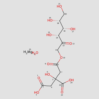 O.O=C(O)CC(O)(CC(=O)OCC(=O)[C@H](O)[C@@H](O)[C@H](O)CO)C(=O)O.[MgH2]